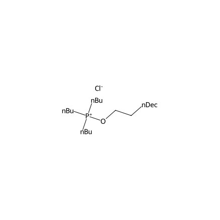 CCCCCCCCCCCCO[P+](CCCC)(CCCC)CCCC.[Cl-]